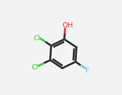 Oc1cc(F)cc(Cl)c1Cl